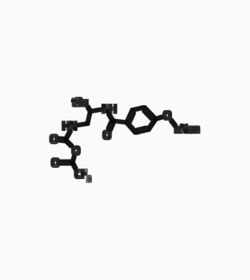 CCCCCCCCCOc1ccc(C(=O)NC(CNC(=O)OC(=O)C(F)(F)F)C(C)(C)C)cc1